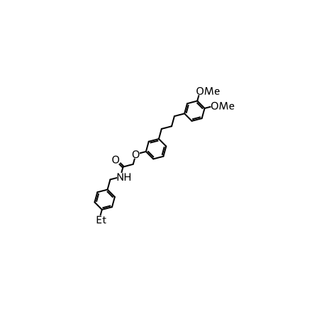 CCc1ccc(CNC(=O)COc2cccc(CCCc3ccc(OC)c(OC)c3)c2)cc1